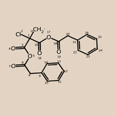 [CH2]C(Cl)(C(=O)OC(=O)Cc1ccccc1)C(=O)OC(=O)Cc1ccccc1